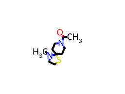 CC(=O)N1CCC2(CC1)SCCN2C